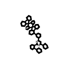 c1ccc(-c2cc(-c3cccc(-c4cccc5c4-c4ccccc4C54c5ccccc5C5(c6ccccc6-c6ccccc65)c5ccccc54)c3)nc(-c3ccccc3-c3ccccc3)n2)cc1